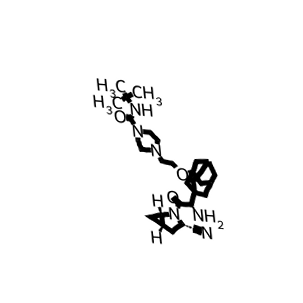 CC(C)(C)NC(=O)N1CCN(CCOC23CC4CC(C2)CC([C@H](N)C(=O)N2[C@H](C#N)C[C@@H]5C[C@@H]52)(C4)C3)CC1